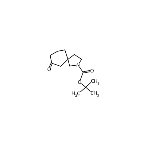 CC(C)(C)OC(=O)N1CCC2(CCCC(=O)C2)C1